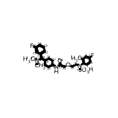 Cc1cc(F)ccc1N(CCOCC(=O)NC1CCC(C(c2cccc(F)c2)N(C)C)CC1)S(=O)(=O)O